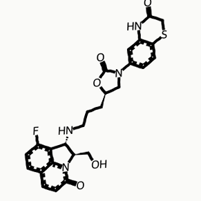 O=C1CSc2ccc(N3C[C@@H](CCCN[C@H]4c5c(F)ccc6ccc(=O)n(c56)[C@@H]4CO)OC3=O)cc2N1